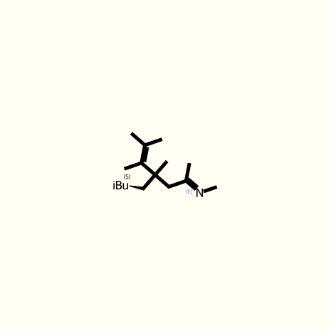 CC[C@H](C)CC(C)(C/C(C)=N/C)C(C)=C(C)C